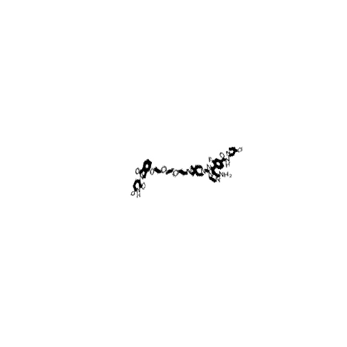 Nc1nccn2c(N3CCC4(CC3)CN(CCOCCOCCOc3cccc5c3CN(C3CCC(=O)NC3=O)C5=O)C4)nc(-c3ccc(C(=O)Nc4cc(Cl)ccn4)cc3F)c12